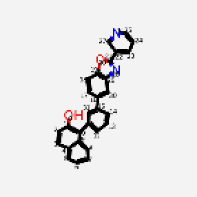 Oc1ccc2ccccc2c1-c1cccc(-c2ccc3oc(-c4cccnc4)nc3c2)c1